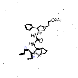 C=C/C=C\C(=C/C)n1nc2c(c1NC(=O)N[C@@H]1CN(CCOC)CC1c1ccccc1)CCC2